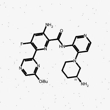 CC(C)COc1cncc(-c2nc(C(=O)Nc3cnccc3N3CCC[C@H](N)C3)c(N)cc2F)n1